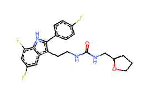 O=C(NCCc1c(-c2ccc(F)cc2)[nH]c2c(F)cc(F)cc12)NCC1CCCO1